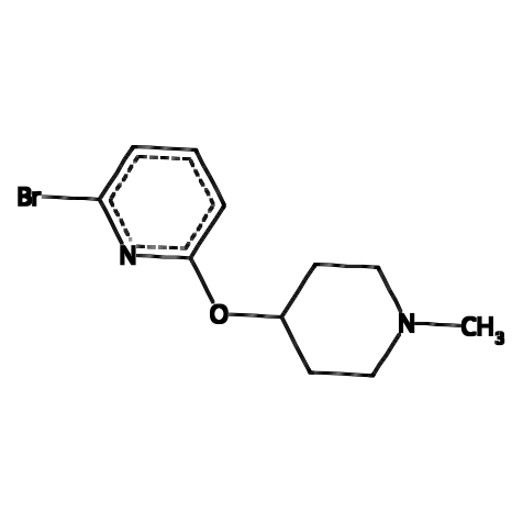 CN1CCC(Oc2cccc(Br)n2)CC1